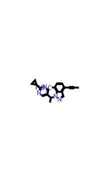 CC#Cc1ccc(C(=O)O)c2c1cnn2C(C)c1cnc(C2CC2)nc1